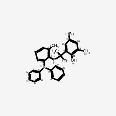 CCC(C)(Pc1c(C)cccc1P(c1ccccc1)c1ccccc1)c1cc(C(C)(C)C)cc(C)c1O